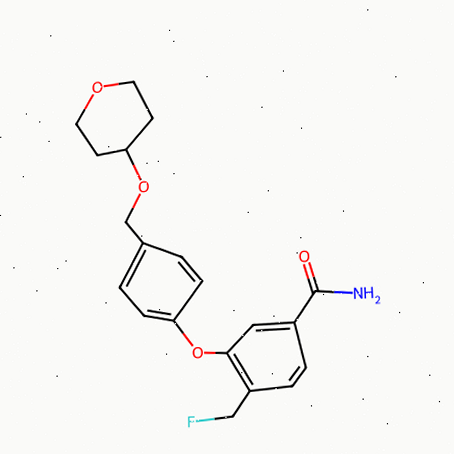 NC(=O)c1ccc(CF)c(Oc2ccc(COC3CCOCC3)cc2)c1